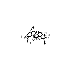 CC1(C)CC[C@]2(N=C=O)CC[C@]3(C)[C@@H](C(=O)C=C4[C@@]5(C)C=C(C#N)C(=O)C(C)(C)[C@@H]5CC[C@]43C)C2C1